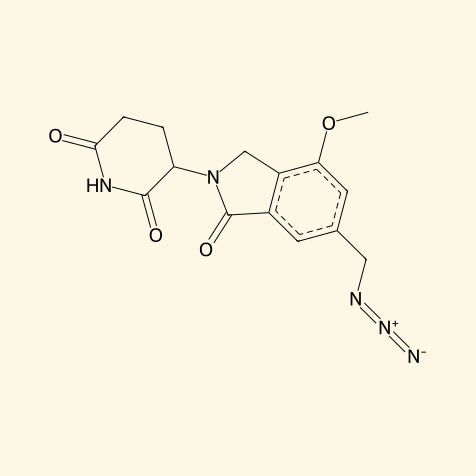 COc1cc(CN=[N+]=[N-])cc2c1CN(C1CCC(=O)NC1=O)C2=O